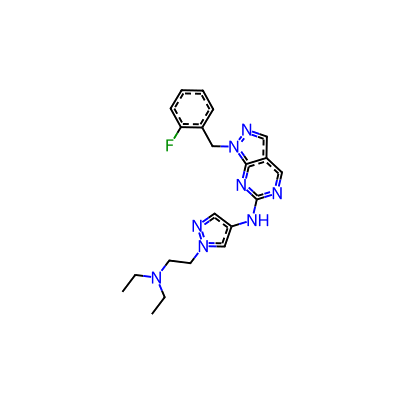 CCN(CC)CCn1cc(Nc2ncc3cnn(Cc4ccccc4F)c3n2)cn1